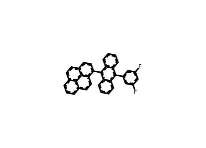 Fc1cc(F)cc(-c2c3ccccc3c(-c3ccc4ccc5cccc6ccc3c4c56)c3ccccc23)c1